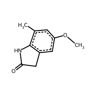 COc1cc(C)c2c(c1)CC(=O)N2